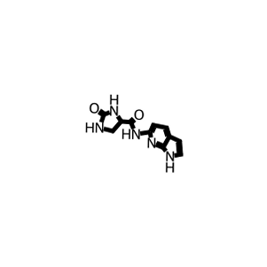 O=C1NCC(C(=O)Nc2ccc3cc[nH]c3n2)N1